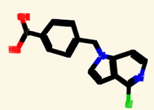 OB(O)c1ccc(Cn2ccc3c(Cl)nccc32)cc1